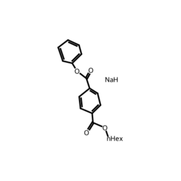 CCCCCCOC(=O)c1ccc(C(=O)Oc2ccccc2)cc1.[NaH]